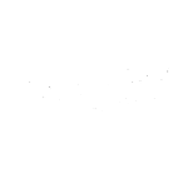 Cc1ccc(NC(=O)c2ccc(N3CCN(C)CC3)c(CF)c2)cc1N1Cc2cnc(N)nc2N(C)C1=O